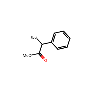 COC(=O)C(c1ccccc1)C(C)(C)C